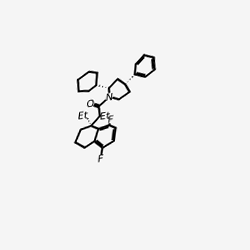 CC[C@@H](C(=O)N1CC[C@@H](c2ccccc2)C[C@H]1C1CCCCC1)[C@]1(CC)CCCc2c(F)ccc(F)c21